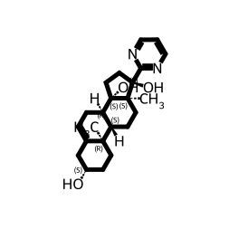 C[C@]12CC[C@H]3[C@@H](CC=C4C[C@@H](O)CC[C@@]43C)[C@@]1(O)CC[C@]2(O)c1ncccn1